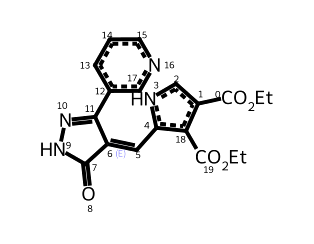 CCOC(=O)c1c[nH]c(/C=C2/C(=O)NN=C2c2cccnc2)c1C(=O)OCC